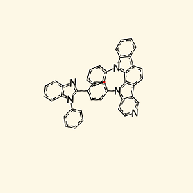 c1ccc(-n2c(-c3ccc(-n4c5ccncc5c5ccc6c7ccccc7n(-c7ccccc7)c6c54)cc3)nc3ccccc32)cc1